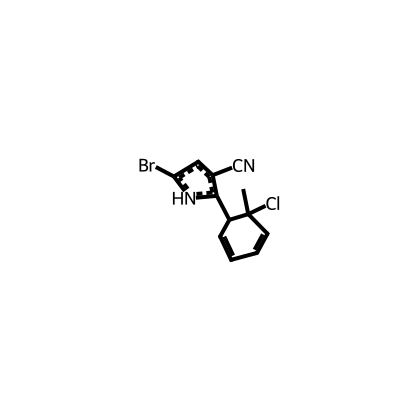 CC1(Cl)C=CC=CC1c1[nH]c(Br)cc1C#N